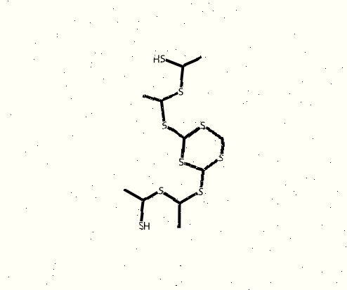 CC(S)SC(C)SC1SCSC(SC(C)SC(C)S)S1